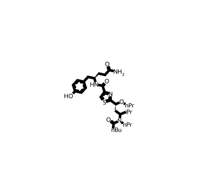 CCCCC(=O)N(CCC)C(C[C@@H](OCCC)c1nc(C(=O)N[C@H](CCC(N)=O)Cc2ccc(O)cc2)cs1)C(C)C